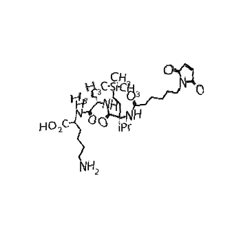 CC(C)[C@](CC[Si](C)(C)C)(NC(=O)CCCCCN1C(=O)C=CC1=O)C(=O)N[C@@H](C)C(=O)N[C@@H](CCCCN)C(=O)O